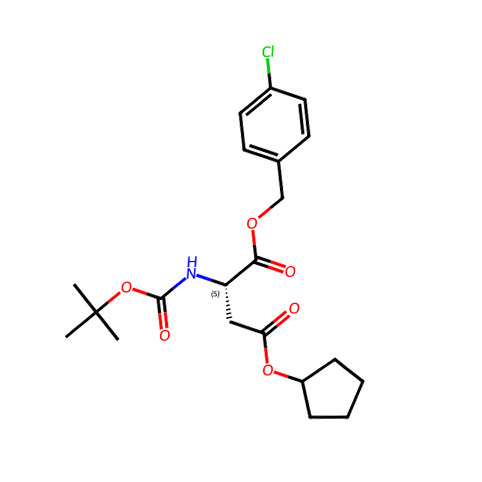 CC(C)(C)OC(=O)N[C@@H](CC(=O)OC1CCCC1)C(=O)OCc1ccc(Cl)cc1